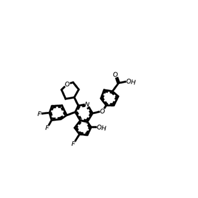 O=C(O)c1ccc(Oc2nc(C3CCOCC3)c(-c3ccc(F)c(F)c3)c3cc(F)cc(O)c23)cc1